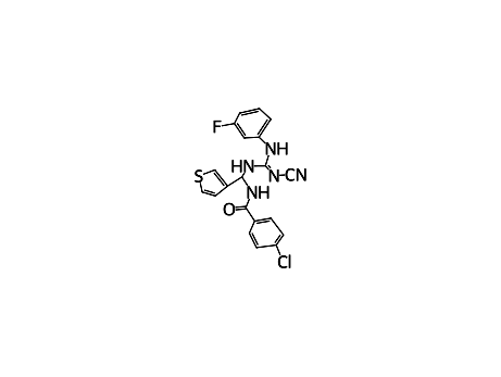 N#C/N=C(\Nc1cccc(F)c1)NC(NC(=O)c1ccc(Cl)cc1)c1ccsc1